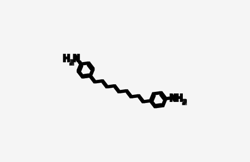 Nc1ccc(CCCCCCCCCc2ccc(N)cc2)cc1